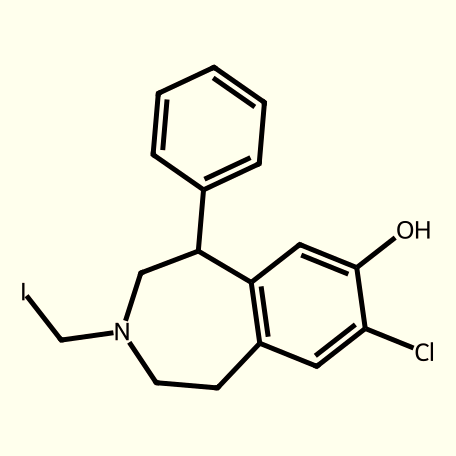 Oc1cc2c(cc1Cl)CCN(CI)CC2c1ccccc1